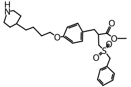 COC(=O)C(Cc1ccc(OCCCCC2CCNCC2)cc1)CS(=O)(=O)Cc1ccccc1